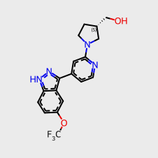 OC[C@H]1CCN(c2cc(-c3n[nH]c4ccc(OC(F)(F)F)cc34)ccn2)C1